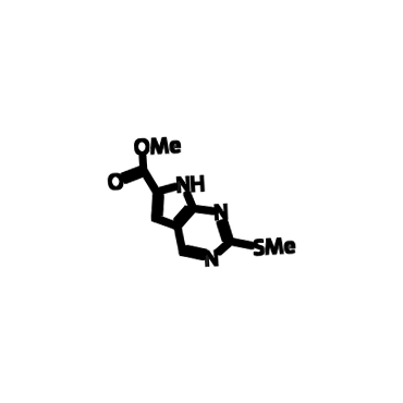 COC(=O)c1cc2cnc(SC)nc2[nH]1